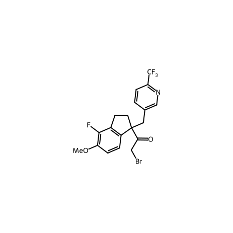 COc1ccc2c(c1F)CCC2(Cc1ccc(C(F)(F)F)nc1)C(=O)CBr